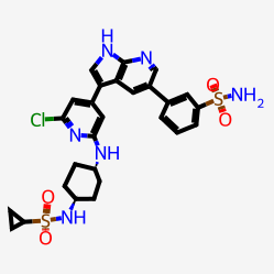 NS(=O)(=O)c1cccc(-c2cnc3[nH]cc(-c4cc(Cl)nc(N[C@H]5CC[C@H](NS(=O)(=O)C6CC6)CC5)c4)c3c2)c1